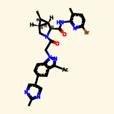 CC(=O)c1nn(CC(=O)N2C[C@H]3[C@@H](C)[C@H]3[C@H]2C(=O)Nc2nc(Br)ccc2C)c2ccc(-c3cnc(C)nc3)cc12